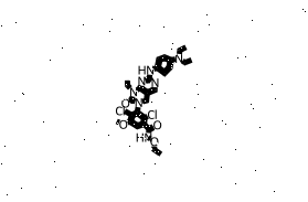 CCONC(=O)c1cc(OC)c(Cl)c(N2Cc3cnc(Nc4ccc(N(CC)CC)cc4)nc3N(CC)C2=O)c1Cl